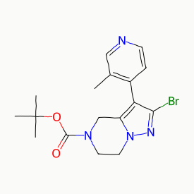 Cc1cnccc1-c1c(Br)nn2c1CN(C(=O)OC(C)(C)C)CC2